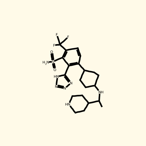 CC(NC1CCC(c2ccc(C(F)(F)F)c(S(N)(=O)=O)c2-c2nnn[nH]2)CC1)C1CCNCC1